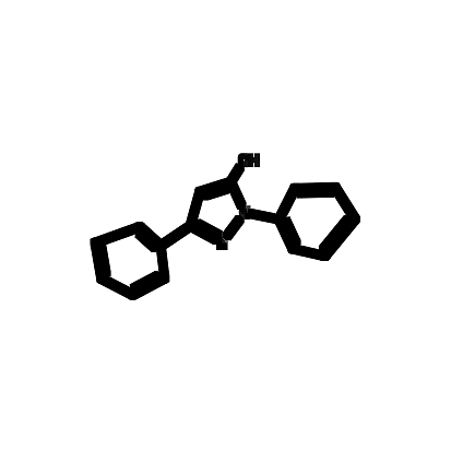 Oc1cc(-c2ccccc2)nn1-c1ccccc1